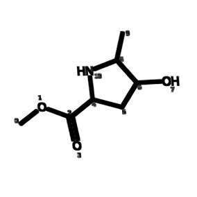 COC(=O)C1CC(O)C(C)N1